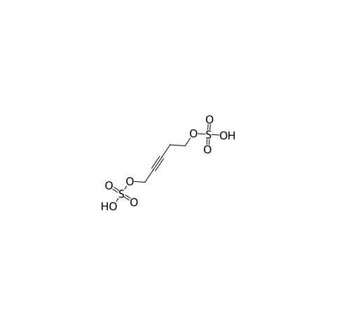 O=S(=O)(O)OCC#CCCOS(=O)(=O)O